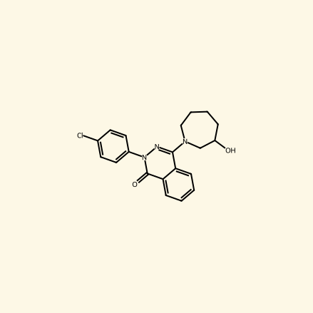 O=c1c2ccccc2c(N2CCCCC(O)C2)nn1-c1ccc(Cl)cc1